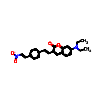 CCN(CC)c1ccc2cc(/C=C/c3ccc(/C=C/[N+](=O)[O-])cc3)c(=O)oc2c1